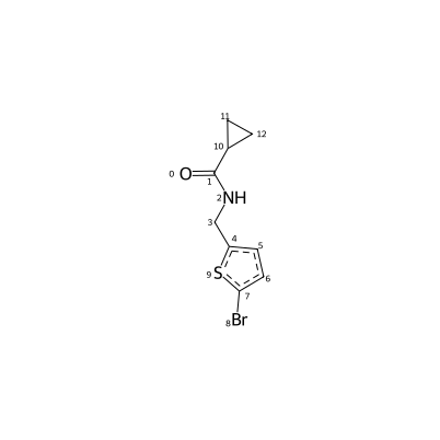 O=C(NCc1ccc(Br)s1)C1CC1